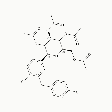 CC(=O)OC[C@H]1O[C@@H](c2ccc(Cl)c(Cc3ccc(O)cc3)c2)C(OC(C)=O)[C@@H](OC(C)=O)C1OC(C)=O